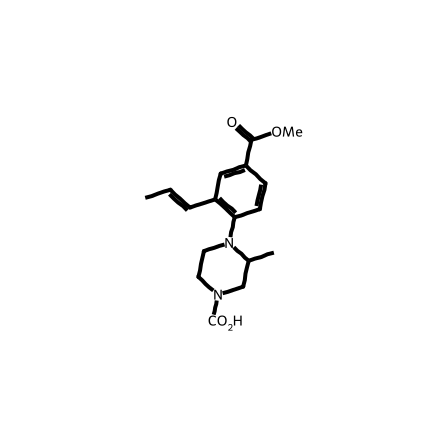 CC=Cc1cc(C(=O)OC)ccc1N1CCN(C(=O)O)CC1C